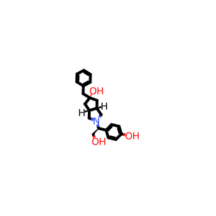 OC[C@H](c1ccc(O)cc1)N1C[C@@H]2C[C@@](O)(Cc3ccccc3)C[C@@H]2C1